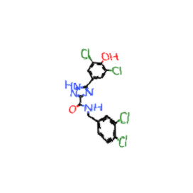 O=C(NCc1ccc(Cl)c(Cl)c1)c1n[nH]c(-c2cc(Cl)c(O)c(Cl)c2)n1